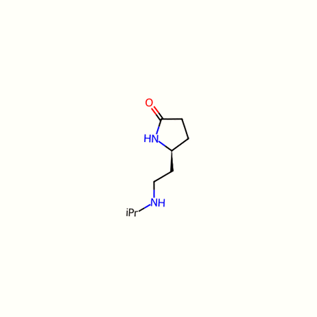 CC(C)NCC[C@@H]1CCC(=O)N1